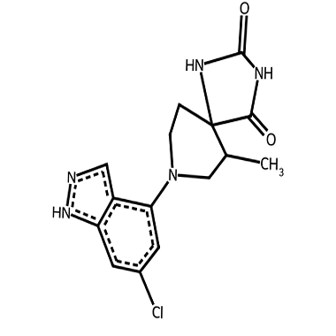 CC1CN(c2cc(Cl)cc3[nH]ncc23)CCC12NC(=O)NC2=O